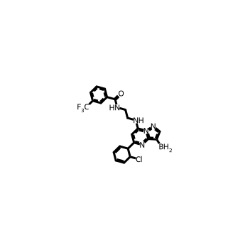 Bc1cnn2c(NCCNC(=O)c3cccc(C(F)(F)F)c3)cc(C3C=CC=CC3Cl)nc12